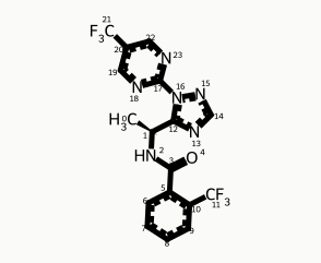 C[C@H](NC(=O)c1ccccc1C(F)(F)F)c1ncnn1-c1ncc(C(F)(F)F)cn1